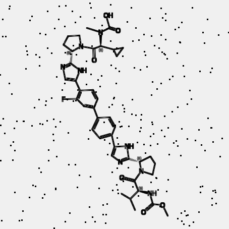 COC(=O)N[C@H](C(=O)N1CCC[C@H]1c1ncc(-c2ccc(-c3ccc(-c4cnc([C@@H]5CCCN5C(=O)[C@H](C5CC5)N(C)C(=O)O)[nH]4)c(F)c3)cc2)[nH]1)C(C)C